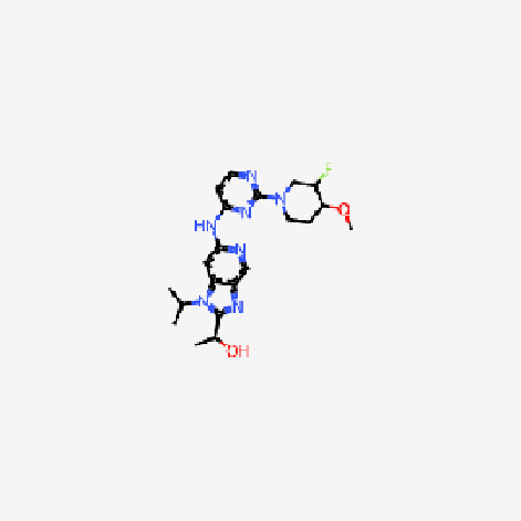 COC1CCN(c2nccc(Nc3cc4c(cn3)nc(C(C)O)n4C(C)C)n2)CC1F